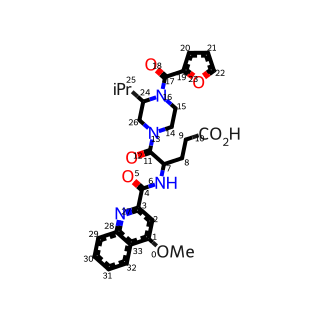 COc1cc(C(=O)NC(CCC(=O)O)C(=O)N2CCN(C(=O)c3ccco3)C(C(C)C)C2)nc2ccccc12